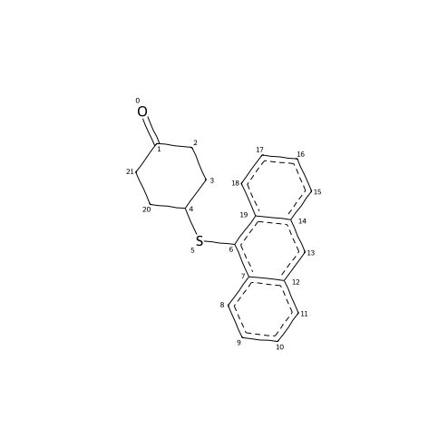 O=C1CCC(Sc2c3ccccc3cc3ccccc23)CC1